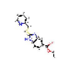 CCOC(=O)c1ccc2[nH]c(SCc3ccccn3)nc2c1